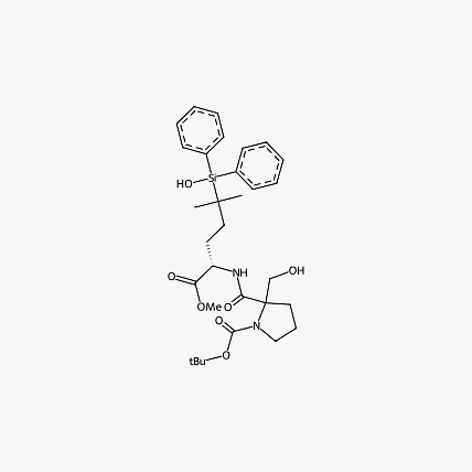 COC(=O)[C@H](CCC(C)(C)[Si](O)(c1ccccc1)c1ccccc1)NC(=O)C1(CO)CCCN1C(=O)OC(C)(C)C